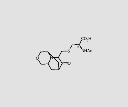 CC(=O)N[C@@H](CSCC1C(=O)C2CC3COCC(C2)N31)C(=O)O